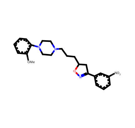 COc1ccccc1N1CCN(CCCC2CC(c3cccc([N+](=O)[O-])c3)=NO2)CC1